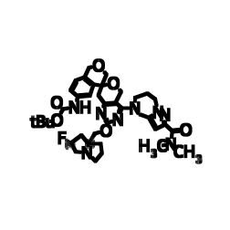 CN(C)C(=O)c1cc2n(n1)CCCN(c1nc(OC[C@@]34CCCN3C[C@H](F)C4)nc3c1COC1(COCc4ccc(NC(=O)OC(C)(C)C)cc41)C3)C2